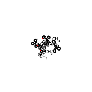 CC(=O)Oc1ccc(C(=O)NC(C(=O)N[C@@H]2C(=O)N3C(C(=O)OC(c4ccccc4)c4ccccc4)=C(CSC4=CC(C)=NC5=CN(C(=O)OC(c6ccccc6)c6ccccc6)NN54)CS[C@H]23)c2csc(NC(c3ccccc3)(c3ccccc3)c3ccccc3)n2)cc1OC(C)=O